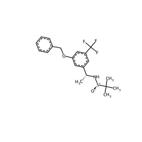 C[C@@H](N[S@+]([O-])C(C)(C)C)c1cc(OCc2ccccc2)cc(C(F)(F)F)c1